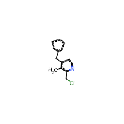 Cc1c(Cc2ccccc2)ccnc1CCl